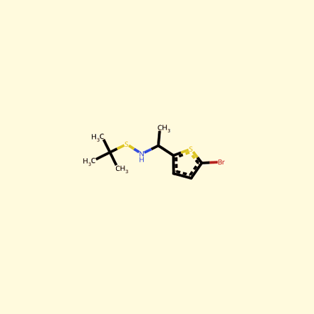 CC(NSC(C)(C)C)c1ccc(Br)s1